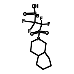 O=S(=O)(O)C(F)(F)C(F)(F)S(=O)(=O)N1CCC2CCCCC2C1